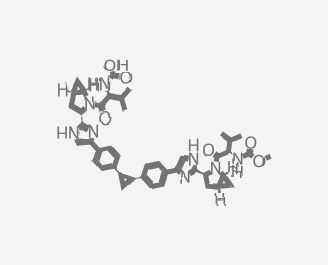 COC(=O)N[C@H](C(=O)N1[C@@H]2C[C@@H]2C[C@H]1c1nc(-c2ccc([C@@H]3C[C@H]3c3ccc(-c4c[nH]c([C@@H]5C[C@H]6C[C@H]6N5C(=O)[C@@H](NC(=O)O)C(C)C)n4)cc3)cc2)c[nH]1)C(C)C